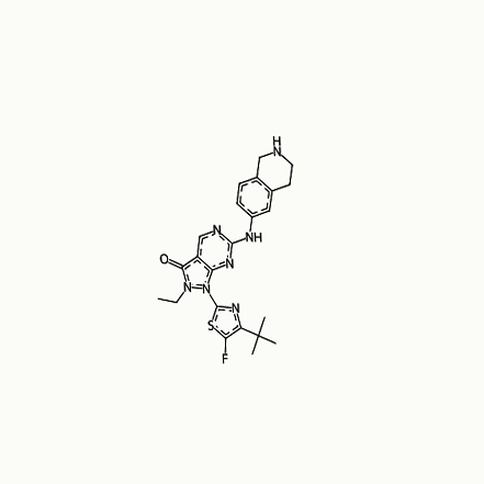 CCn1c(=O)c2cnc(Nc3ccc4c(c3)CCNC4)nc2n1-c1nc(C(C)(C)C)c(F)s1